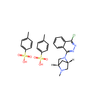 CN1C[C@@H]2C[C@H]1CN2c1nnc(Cl)c2ccccc12.Cc1ccc(S(=O)(=O)O)cc1.Cc1ccc(S(=O)(=O)O)cc1